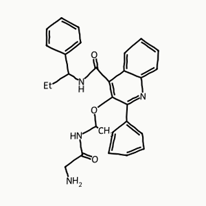 CCC(NC(=O)c1c(OC(C)NC(=O)CN)c(-c2ccccc2)nc2ccccc12)c1ccccc1